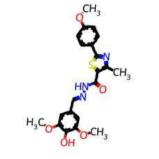 COc1ccc(-c2nc(C)c(C(=O)N/N=C/c3cc(OC)c(O)c(OC)c3)s2)cc1